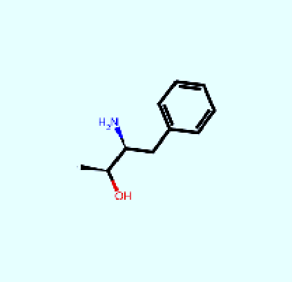 [CH2][C@H](O)[C@@H](N)Cc1ccccc1